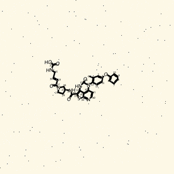 Cc1cc(Oc2ccccc2)ccc1N1C(=O)Nc2c(C(=O)NC3CCN(C(=O)C=CCNC(=O)O)C3)sc3nccc1c23